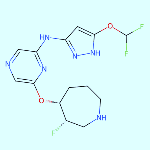 FC(F)Oc1cc(Nc2cncc(O[C@@H]3CCCNC[C@@H]3F)n2)n[nH]1